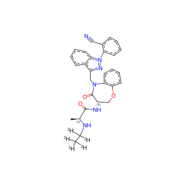 [2H]C([2H])([2H])C([2H])([2H])N[C@@H](C)C(=O)N[C@H]1COc2ccccc2N(Cc2nn(-c3ccccc3C#N)c3ccccc23)C1=O